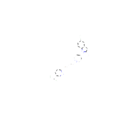 CCc1cc2cc(F)ccc2n1C1=CCN(CCCSc2ccc(C(F)(F)F)cn2)CC1